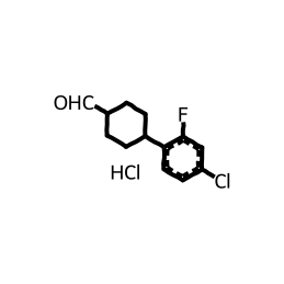 Cl.O=CC1CCC(c2ccc(Cl)cc2F)CC1